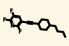 CCCCC1CCC(C#Cc2cc(F)c(F)nc2F)CC1